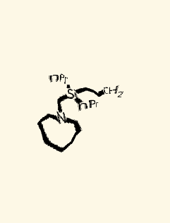 C=CC[Si](CCC)(CCC)CN1CCCCCCC1